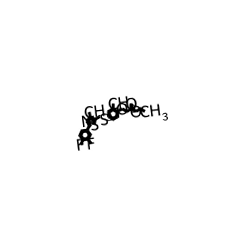 CCOC(=O)COc1ccc(SCc2sc(-c3ccc(F)c(F)c3)nc2C)cc1C